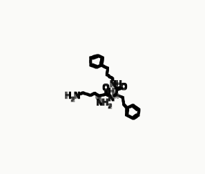 NCCC[C@@H](N)C(=O)N[C@H](CCc1ccccc1)C(=O)NCCCc1ccccc1